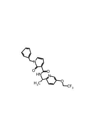 C[C@@H](NC(=O)c1cccn(Cc2ccccc2)c1=O)c1ccc(OCC(F)(F)F)cn1